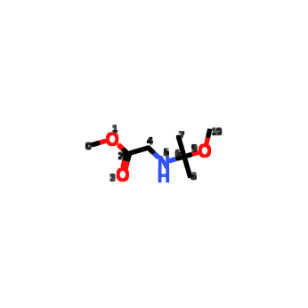 COC(=O)CNC(C)(C)OC